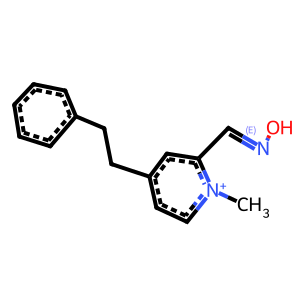 C[n+]1ccc(CCc2ccccc2)cc1/C=N/O